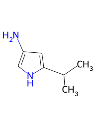 CC(C)c1cc(N)c[nH]1